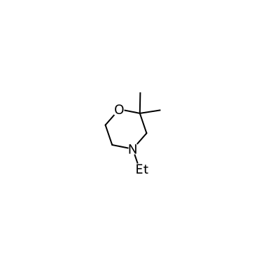 [CH2]CN1CCOC(C)(C)C1